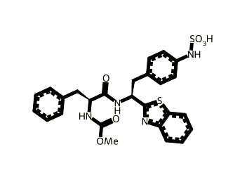 COC(=O)N[C@@H](Cc1ccccc1)C(=O)N[C@@H](Cc1ccc(NS(=O)(=O)O)cc1)c1nc2ccccc2s1